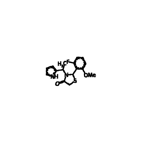 COc1cccc(F)c1C1SCC(=O)N1C(C)c1ccc[nH]1